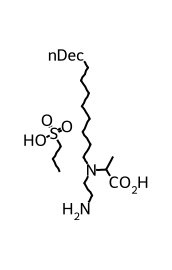 CCCCCCCCCCCCCCCCCCN(CCN)C(C)C(=O)O.CCCS(=O)(=O)O